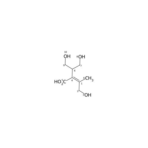 CC(CO)=C(C(=O)O)C(CO)CO